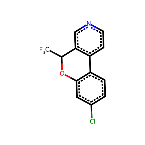 FC(F)(F)C1Oc2cc(Cl)ccc2-c2ccncc21